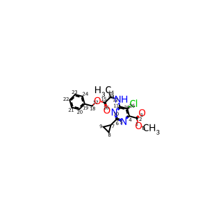 COC(=O)c1nc(C2CC2)nc(N[C@@H](C)C(=O)OCc2ccccc2)c1Cl